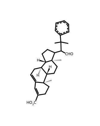 CC(C)(c1ccccc1)C(C=O)C1CC[C@H]2[C@@H]3CC=C4C=C(C(=O)O)CC[C@]4(C)[C@H]3CC[C@]12C